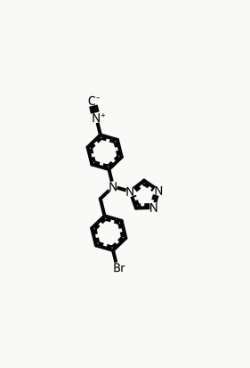 [C-]#[N+]c1ccc(N(Cc2ccc(Br)cc2)n2cnnc2)cc1